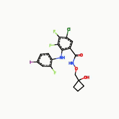 O=C(NOCC1(O)CCC1)c1cc(Cl)c(F)c(F)c1Nc1ccc(I)cc1F